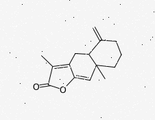 C=C1CCCC2(C)C=C3OC(=O)C(C)=C3CC12